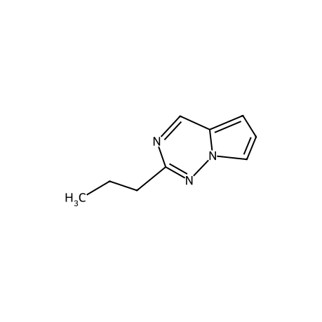 CCCc1ncc2cccn2n1